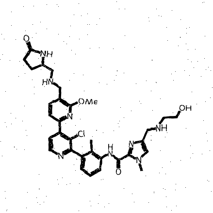 COc1nc(-c2ccnc(-c3cccc(NC(=O)c4nc(CNCCO)cn4C)c3C)c2Cl)ccc1CNCC1CCC(=O)N1